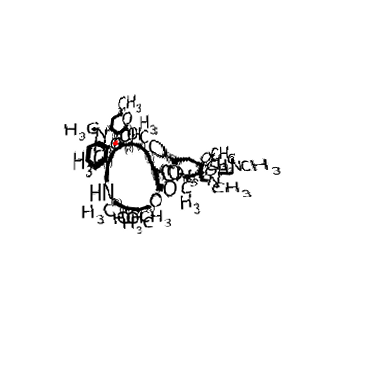 CC[C@H]1OC(=O)[C@H](C)[C@@H](O[C@H]2C[C@@](C)(OC)[C@](O)(CN(C)CCN(C)C)[C@H](C)O2)[C@H](C)[C@@H](O[C@@H]2O[C@H](C)C[C@H](NC)[C@H]2Oc2ccccc2)[C@](C)(O)C[C@@H](C)CN[C@H](C)[C@@H](O)[C@]1(C)O